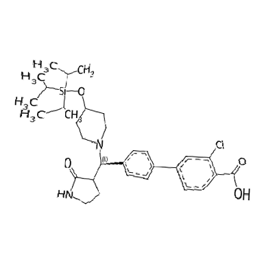 CC(C)[Si](OC1CCN([C@@H](c2ccc(-c3ccc(C(=O)O)c(Cl)c3)cc2)C2CCNC2=O)CC1)(C(C)C)C(C)C